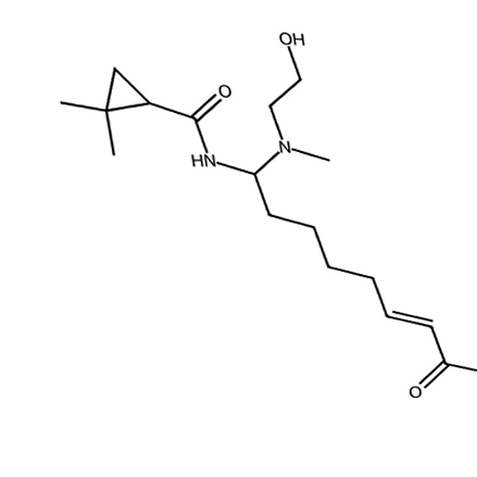 CN(CCO)C(CCCCC=CC(=O)O)NC(=O)C1CC1(C)C